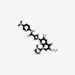 CN(C)c1ccc(NC(=O)C2CN(c3nc4c(cc3F)c(=O)c(C(=O)O)cn4C3SN=CN3C)C2)nc1